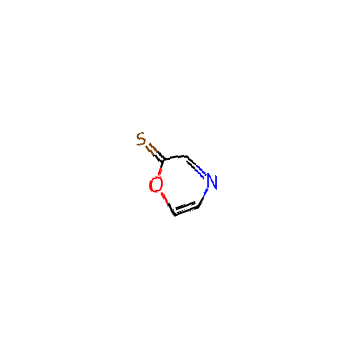 S=c1cncco1